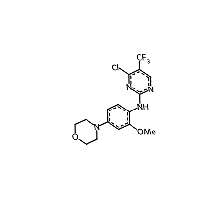 COc1cc(N2CCOCC2)ccc1Nc1ncc(C(F)(F)F)c(Cl)n1